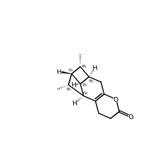 C[C@@H]1[C@H]2CC3=C(CCC(=O)O3)[C@H]3[C@H](C)[C@H]1[C@@H]23